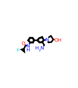 NCc1cc(-c2cccc(NC(=O)C3C[C@H]3F)c2)ccc1N1CCC(O)CC1